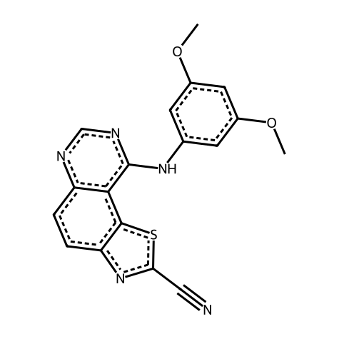 COc1cc(Nc2ncnc3ccc4nc(C#N)sc4c23)cc(OC)c1